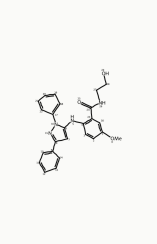 COc1ccc(Nc2cc(-c3ccccc3)nn2-c2ccccc2)c(C(=O)NCCO)c1